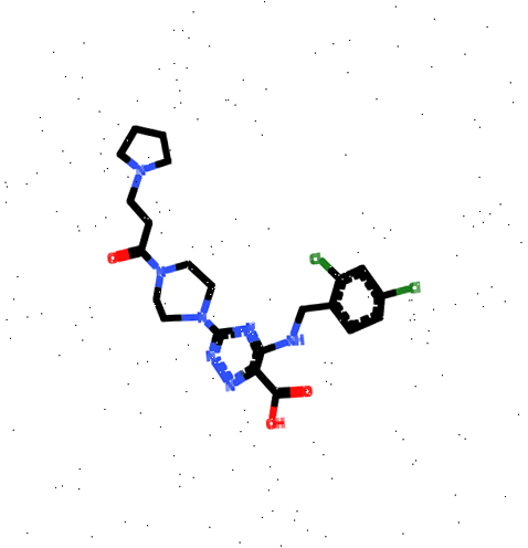 O=C(O)c1nnc(N2CCN(C(=O)CCN3CCCC3)CC2)nc1NCc1ccc(Cl)cc1Cl